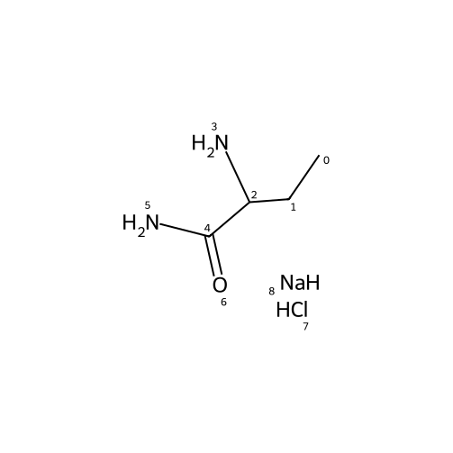 CCC(N)C(N)=O.Cl.[NaH]